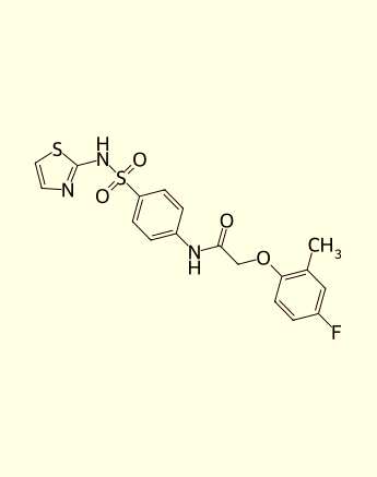 Cc1cc(F)ccc1OCC(=O)Nc1ccc(S(=O)(=O)Nc2nccs2)cc1